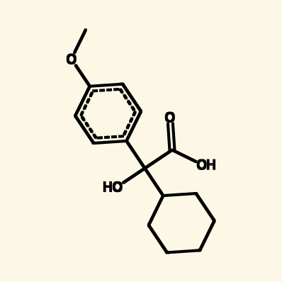 COc1ccc(C(O)(C(=O)O)C2CCCCC2)cc1